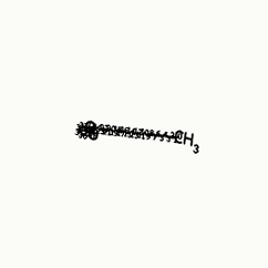 CCCCCCCCCCCCCCCCCCCCCCCCCC(=O)Oc1ccccc1